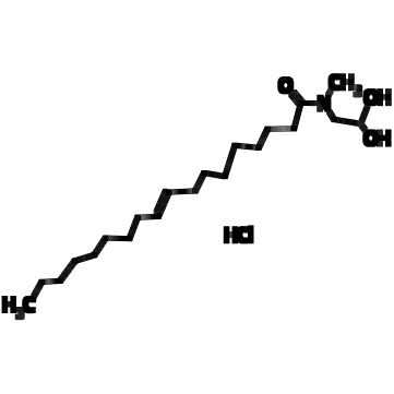 CCCCCCCCC=CCCCCCCCC(=O)N(C)CC(O)O.Cl